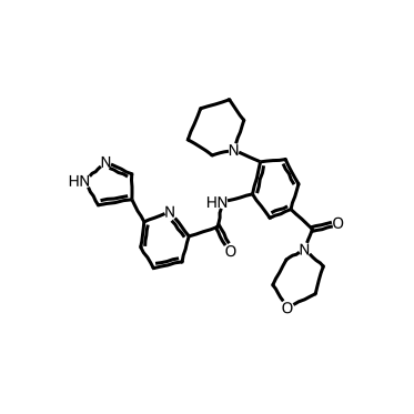 O=C(Nc1cc(C(=O)N2CCOCC2)ccc1N1CCCCC1)c1cccc(-c2cn[nH]c2)n1